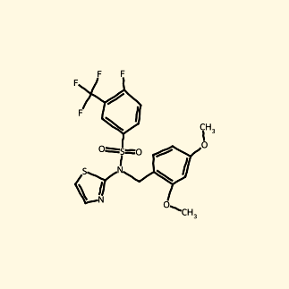 COc1ccc(CN(c2nccs2)S(=O)(=O)c2ccc(F)c(C(F)(F)F)c2)c(OC)c1